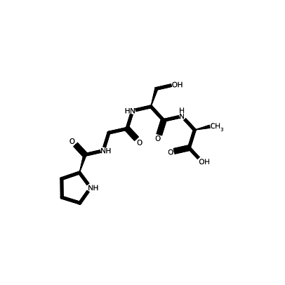 C[C@H](NC(=O)[C@H](CO)NC(=O)CNC(=O)[C@@H]1CCCN1)C(=O)O